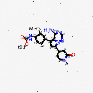 COc1cc(-c2cc(-c3ccn(C)c(=O)c3)n3ncnc(N)c23)ccc1NC(=O)OC(C)(C)C